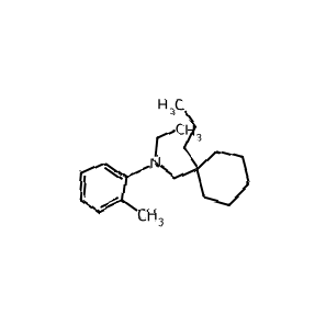 CCCC1(CN(CC)c2ccccc2C)CCCCC1